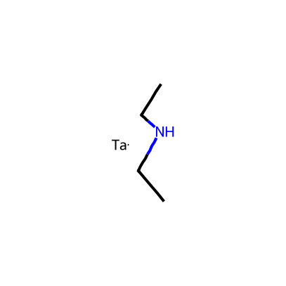 CCNCC.[Ta]